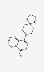 N#Cc1ccc(N2CCC3(CC2)OCCO3)c2ccccc12